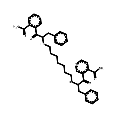 NC(=O)c1ccncc1C(=O)C(Cc1ccccc1)NCCCCCCCNC(Cc1ccccc1)C(=O)c1cnccc1C(N)=O